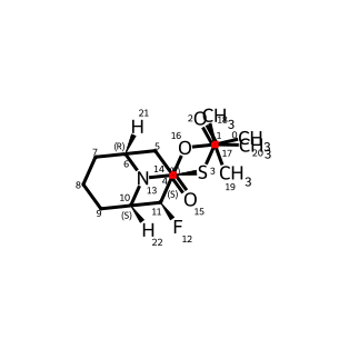 CC(=O)S[C@@H]1C[C@H]2CCC[C@@H]([C@@H]1F)N2C(=O)OC(C)(C)C